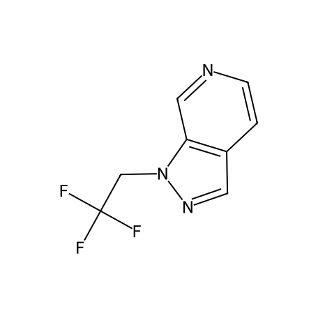 FC(F)(F)Cn1ncc2ccncc21